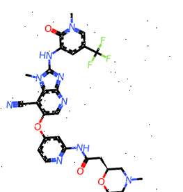 CN1CCO[C@@H](CC(=O)Nc2cc(Oc3cnc4nc(Nc5cc(C(F)(F)F)cn(C)c5=O)n(C)c4c3C#N)ccn2)C1